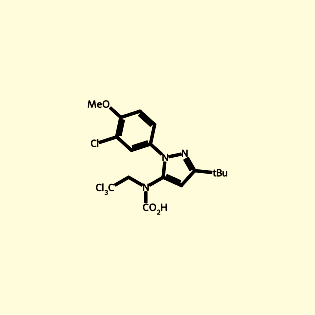 COc1ccc(-n2nc(C(C)(C)C)cc2N(CC(Cl)(Cl)Cl)C(=O)O)cc1Cl